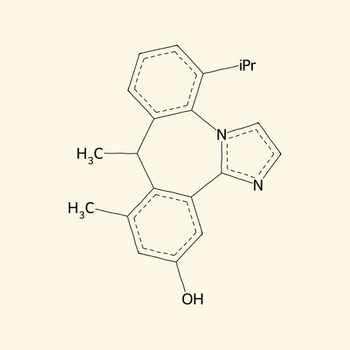 Cc1cc(O)cc2c1C(C)c1cccc(C(C)C)c1-n1ccnc1-2